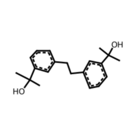 CC(C)(O)c1cccc(CCc2cccc(C(C)(C)O)c2)c1